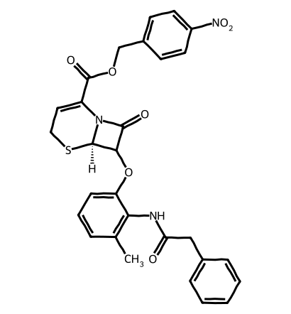 Cc1cccc(OC2C(=O)N3C(C(=O)OCc4ccc([N+](=O)[O-])cc4)=CCS[C@H]23)c1NC(=O)Cc1ccccc1